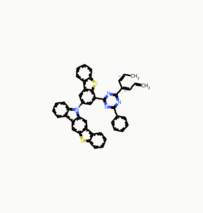 C=C/C=C(\C=C/C)c1nc(-c2ccccc2)nc(-c2cc(-n3c4ccccc4c4cc5sc6ccccc6c5cc43)cc3c2sc2ccccc23)n1